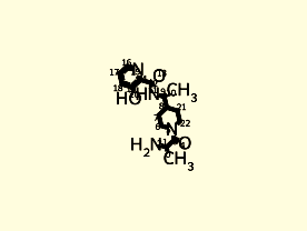 CC(N)C(=O)N1CCC(C(C)NC(=O)c2ncccc2O)CC1